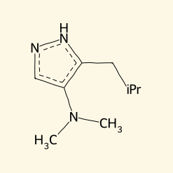 CC(C)Cc1[nH]ncc1N(C)C